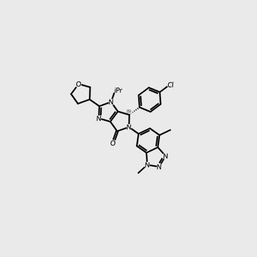 Cc1cc(N2C(=O)c3nc(C4CCOC4)n(C(C)C)c3[C@@H]2c2ccc(Cl)cc2)cc2c1nnn2C